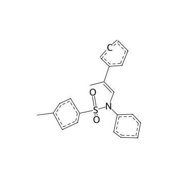 CC(=CN(c1ccccc1)S(=O)(=O)c1ccc(C)cc1)c1ccccc1